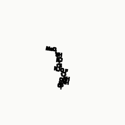 COCCNCc1cccc(-c2cc3nccc(Oc4ccc(NC(=O)Nc5cc(C)on5)cc4F)c3s2)n1